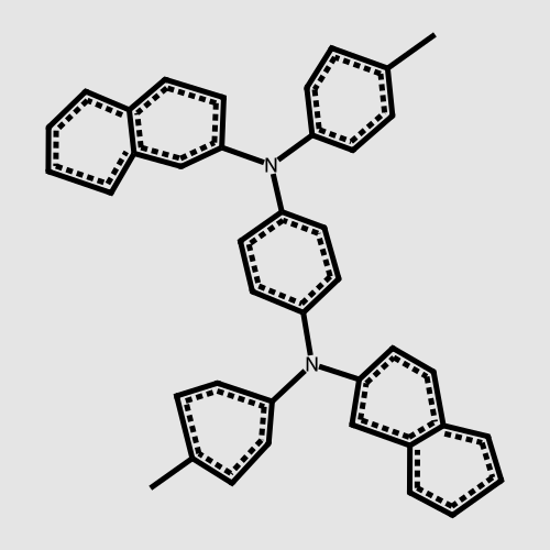 Cc1ccc(N(c2ccc(N(c3ccc(C)cc3)c3ccc4ccccc4c3)cc2)c2ccc3ccccc3c2)cc1